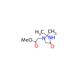 COC(=O)CN1CC(=O)NC1(C)C